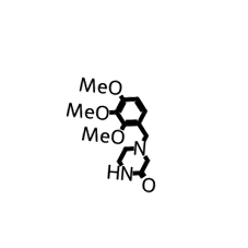 COc1ccc(CN2CCNC(=O)C2)c(OC)c1OC